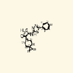 C[C@@H](Nc1nnc(-c2ccccc2)s1)C(=O)N1CCC2(CC1)CC2